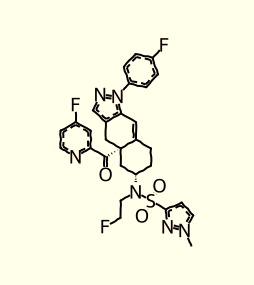 Cn1ccc(S(=O)(=O)N(CCF)[C@H]2CCC3=Cc4c(cnn4-c4ccc(F)cc4)C[C@]3(C(=O)c3cc(F)ccn3)C2)n1